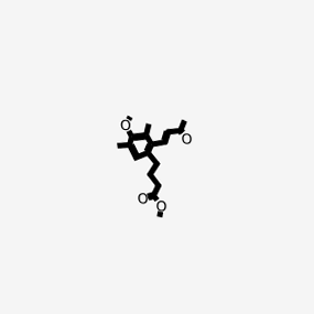 COC(=O)CCCc1cc(C)c(OC)c(C)c1C=CC(C)=O